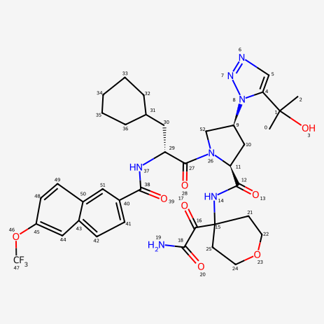 CC(C)(O)c1cnnn1[C@H]1C[C@@H](C(=O)NC2(C(=O)C(N)=O)CCOCC2)N(C(=O)[C@@H](CC2CCCCC2)NC(=O)c2ccc3cc(OC(F)(F)F)ccc3c2)C1